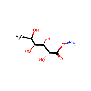 C[C@@H](O)[C@@H](O)[C@H](O)[C@@H](O)C(=O)ON